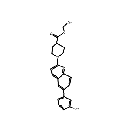 CCOC(=O)C1CCN(c2ccc3cc(-c4cccc(O)c4)ccc3n2)CC1